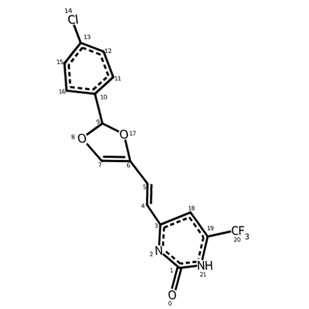 O=c1nc(C=CC2=COC(c3ccc(Cl)cc3)O2)cc(C(F)(F)F)[nH]1